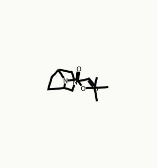 CC(C)(C)OC(=O)N1C2CCC1CN(C=O)C2